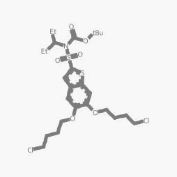 CC[C](CC)N(C(=O)OC(C)(C)C)S(=O)(=O)c1cc2cc(OCCCCCl)c(OCCCCCl)cc2s1